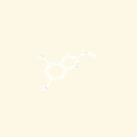 Nc1cc(N)c2oc(N=O)nc2c1